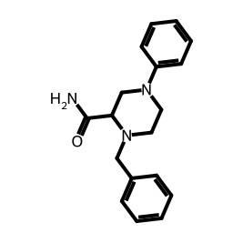 NC(=O)C1CN(c2ccccc2)CCN1Cc1ccccc1